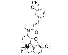 CN(C(=O)/C=C/c1cccc(OC(F)(F)F)c1)C1CC[C@@]2([N+](=O)[O-])[C@H]3Cc4ccc(O)c5c4[C@@]2(CCN3C)C1O5